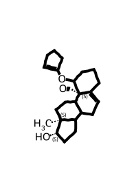 C[C@]12CCC3C(CC=C4CCCC(OC5=CCCC5)[C@@]43C=O)C1CC[C@@H]2O